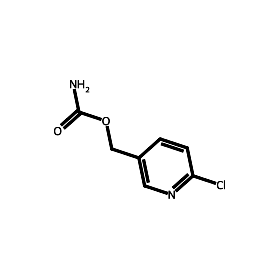 NC(=O)OCc1ccc(Cl)nc1